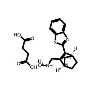 CNCC1=C(c2nc3ccccc3s2)[C@H]2CC[C@@H]1C2.O=C(O)CCC(=O)O